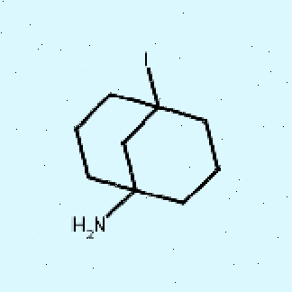 NC12CCCC(I)(CCC1)C2